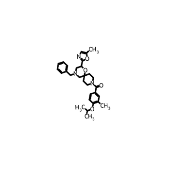 Cc1cnc(C2CN(Cc3ccccc3)CC3(CCN(C(=O)c4ccc(OC(C)C)c(C)c4)CC3)O2)o1